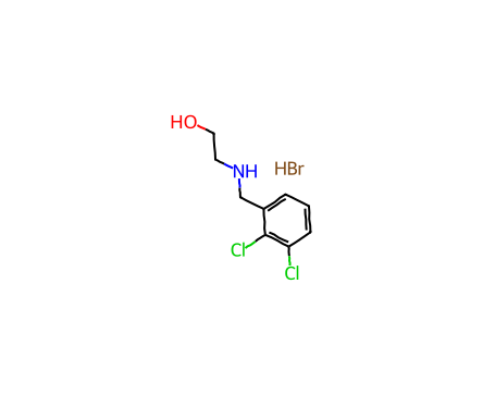 Br.OCCNCc1cccc(Cl)c1Cl